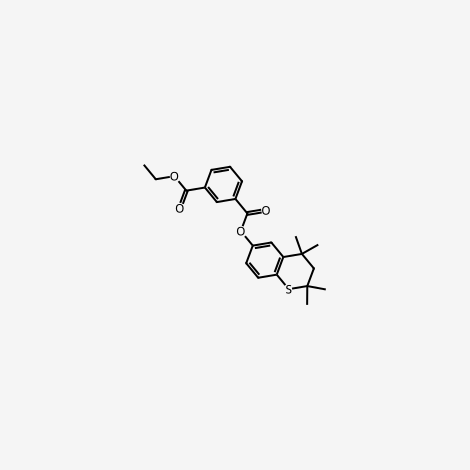 CCOC(=O)c1cccc(C(=O)Oc2ccc3c(c2)C(C)(C)CC(C)(C)S3)c1